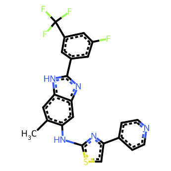 Cc1cc2[nH]c(-c3cc(F)cc(C(F)(F)F)c3)nc2cc1Nc1nc(-c2ccncc2)cs1